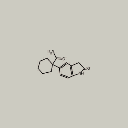 NC(=O)C1(c2ccc3c(c2)CC(=O)N3)CCCCC1